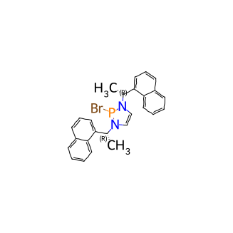 C[C@H](c1cccc2ccccc12)N1C=CN([C@H](C)c2cccc3ccccc23)P1Br